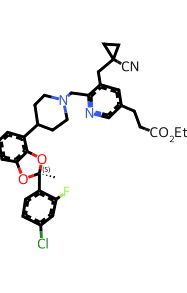 CCOC(=O)CCc1cnc(CN2CCC(c3cccc4c3O[C@@](C)(c3ccc(Cl)cc3F)O4)CC2)c(CC2(C#N)CC2)c1